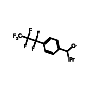 CC(C)C([O])c1ccc(C(F)(F)C(F)(F)C(F)(F)F)cc1